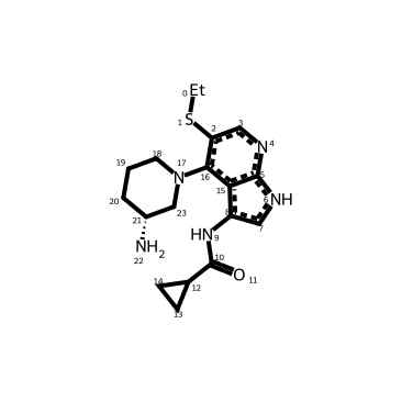 CCSc1cnc2[nH]cc(NC(=O)C3CC3)c2c1N1CCC[C@@H](N)C1